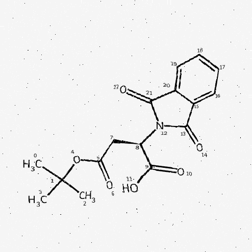 CC(C)(C)OC(=O)C[C@H](C(=O)O)N1C(=O)c2ccccc2C1=O